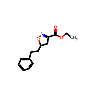 CCOC(=O)C1=NOC(CCc2ccccc2)C1